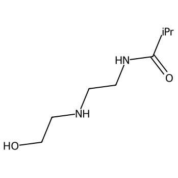 CC(C)C(=O)NCCNCCO